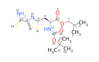 CC(C)COC(=O)[C@H](Cc1nc(C(N)=S)cs1)NC(=O)OC(C)(C)C